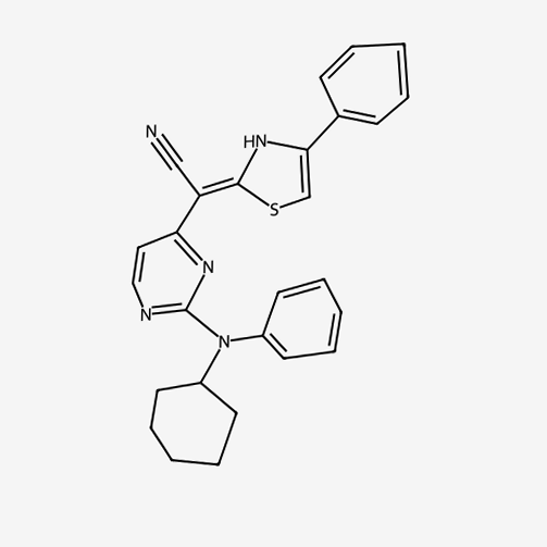 N#C/C(=C1\NC(c2ccccc2)=CS1)c1ccnc(N(c2ccccc2)C2CCCCC2)n1